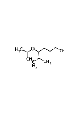 CC(C)OC(CCC[O])C(C)C